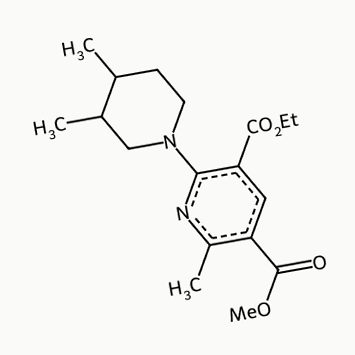 CCOC(=O)c1cc(C(=O)OC)c(C)nc1N1CCC(C)C(C)C1